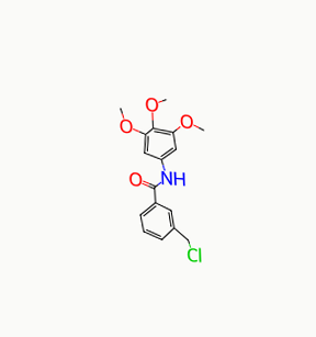 COc1cc(NC(=O)c2cccc(CCl)c2)cc(OC)c1OC